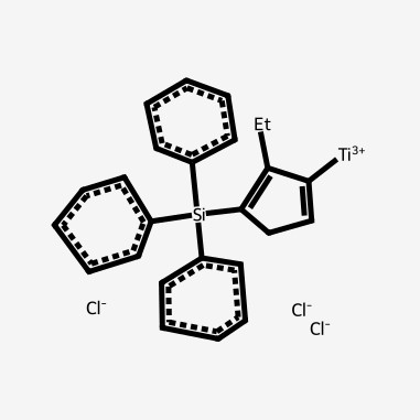 CCC1=C([Si](c2ccccc2)(c2ccccc2)c2ccccc2)CC=[C]1[Ti+3].[Cl-].[Cl-].[Cl-]